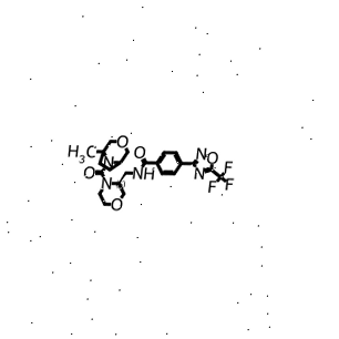 CC12CCC(COC1)N2C(=O)N1CCOC[C@@H]1CNC(=O)c1ccc(-c2noc(C(F)(F)F)n2)cc1